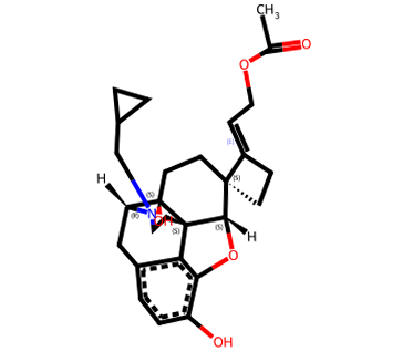 CC(=O)OC/C=C1\CC[C@]12CC[C@@]1(O)[C@H]3Cc4ccc(O)c5c4[C@@]1(CCN3CC1CC1)[C@H]2O5